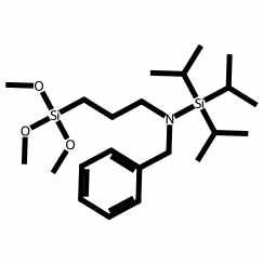 CO[Si](CCCN(Cc1ccccc1)[Si](C(C)C)(C(C)C)C(C)C)(OC)OC